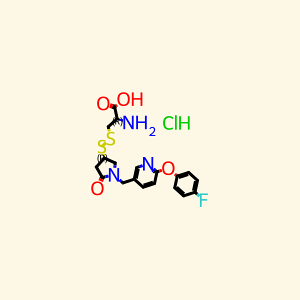 Cl.N[C@@H](CSS[C@@H]1CC(=O)N(Cc2ccc(Oc3ccc(F)cc3)nc2)C1)C(=O)O